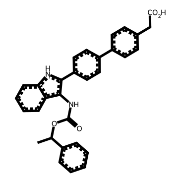 CC(OC(=O)Nc1c(-c2ccc(-c3ccc(CC(=O)O)cc3)cc2)[nH]c2ccccc12)c1ccccc1